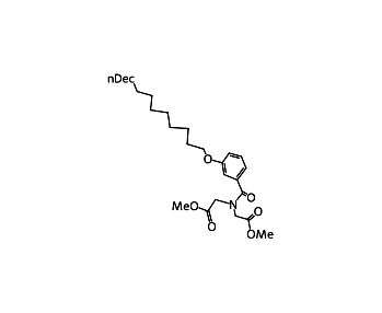 CCCCCCCCCCCCCCCCCCOc1cccc(C(=O)N(CC(=O)OC)CC(=O)OC)c1